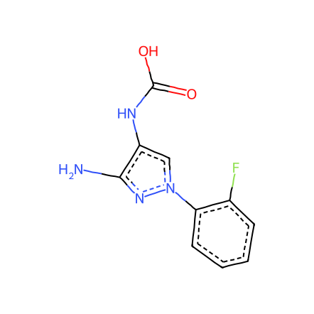 Nc1nn(-c2ccccc2F)cc1NC(=O)O